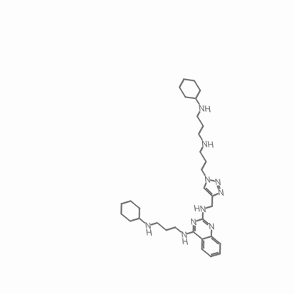 c1ccc2c(NCCCNC3CCCCC3)nc(NCc3cn(CCCNCCCNC4CCCCC4)nn3)nc2c1